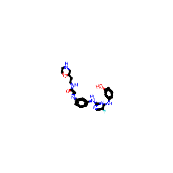 O=C(C=Nc1cccc(Nc2ncc(F)c(Nc3cccc(O)c3)n2)c1)NCCC1CNCCO1